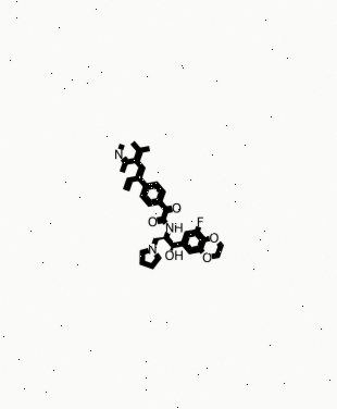 C=C/C(=C\C(=C(C)C)/C(C)=N\C)c1ccc(C(=O)C(=O)N[C@H](CN2CCCC2)[C@H](O)c2cc(F)c3c(c2)OCCO3)cc1